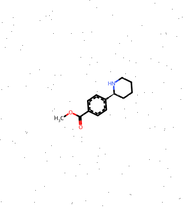 COC(=O)c1ccc([C@@H]2CCCCN2)cc1